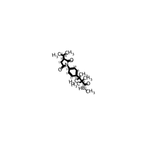 CBC(=O)C(C)(C)C(C)(C)c1ccc(N2C(=O)CC(C(C)C)C2=O)cc1